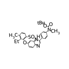 CCc1c(C)ccc(S(=O)(=O)O)c1Oc1ccc2ncc(-c3ccc(N(C)C(=O)OC(C)(C)C)cc3)nc2c1